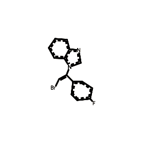 Fc1ccc(C(=CBr)n2cnc3ccccc32)cc1